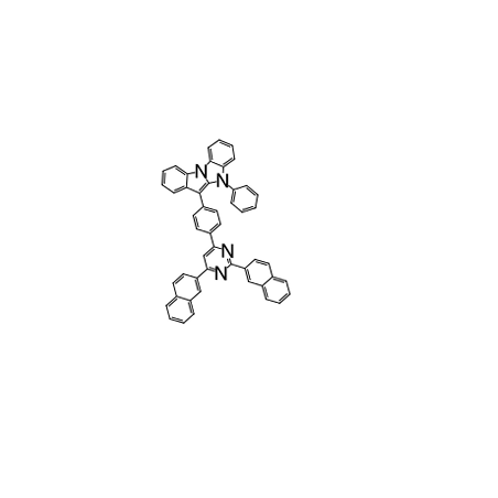 c1ccc(-n2c3ccccc3n3c4ccccc4c(-c4ccc(-c5cc(-c6ccc7ccccc7c6)nc(-c6ccc7ccccc7c6)n5)cc4)c23)cc1